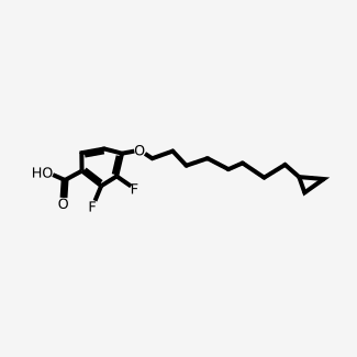 O=C(O)c1ccc(OCCCCCCCCC2CC2)c(F)c1F